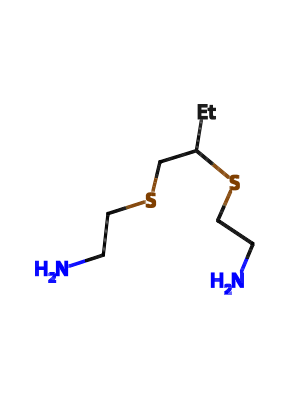 CCC(CSCCN)SCCN